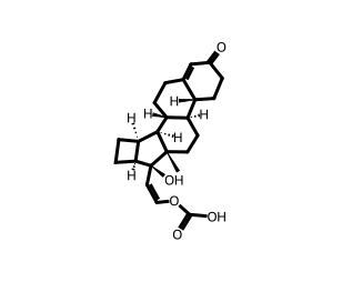 C[C@]12CC[C@H]3[C@@H](CCC4=CC(=O)CC[C@@H]43)[C@@H]1[C@@H]1CC[C@@H]1[C@@]2(O)/C=C\OC(=O)O